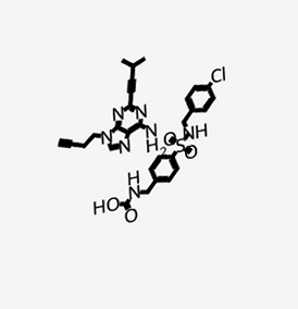 C#CCCn1cnc2c(N)nc(C#CC(C)C)nc21.O=C(O)NCc1ccc(S(=O)(=O)NCc2ccc(Cl)cc2)cc1